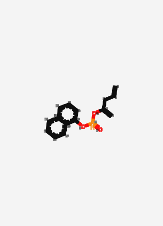 C=CCC(=C)O[PH](=O)Oc1cccc2ccccc12